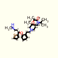 CNCC[C@@H](Oc1ccccc1CCN1CC[C@@]2(CN(C(C)C)C(=O)[C@@H](C)O2)[C@H](C)C1)c1cccs1